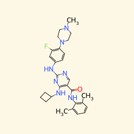 Cc1cccc(C)c1NC(=O)c1cnc(Nc2ccc(N3CCN(C)CC3)c(F)c2)nc1NC1CCC1